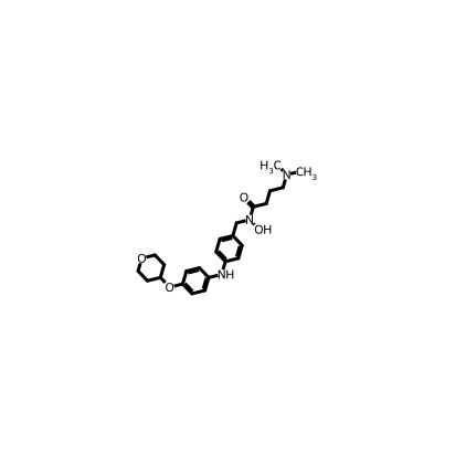 CN(C)CCCC(=O)N(O)Cc1ccc(Nc2ccc(OC3CCOCC3)cc2)cc1